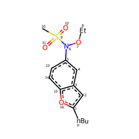 CCCCc1cc2cc(N(OCC)S(C)(=O)=O)ccc2o1